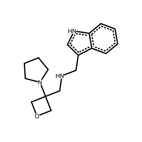 c1ccc2c(CNCC3(N4CCCC4)COC3)c[nH]c2c1